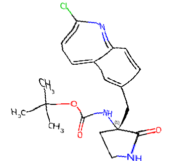 CC(C)(C)OC(=O)N[C@@]1(Cc2ccc3nc(Cl)ccc3c2)CCNC1=O